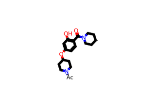 CC(=O)N1CCC(Oc2ccc(C(=O)N3CC[CH]CC3)c(O)c2)CC1